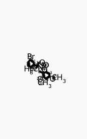 COc1ccc(CN2C(C)(c3cc(Br)ccc3F)COS2(=O)=O)c(OC)c1